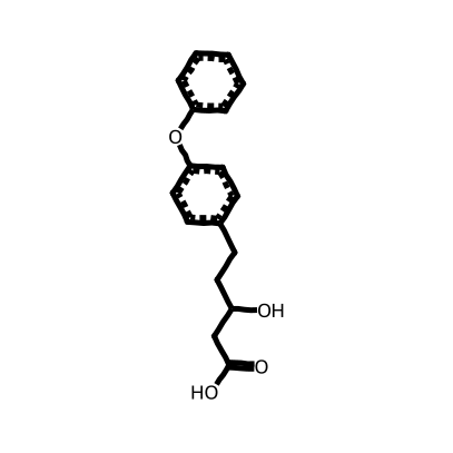 O=C(O)CC(O)CCc1ccc(Oc2ccccc2)cc1